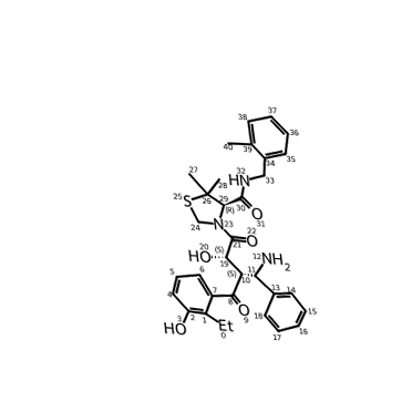 CCc1c(O)cccc1C(=O)[C@@H](C(N)c1ccccc1)[C@H](O)C(=O)N1CSC(C)(C)[C@H]1C(=O)NCc1ccccc1C